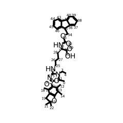 CCN(CC)/C(=N\S(=O)(=O)c1c(C)c(C)c2c(c1C)CC(C)(C)O2)NCCCC[C@@H](NC(=O)OCC1c2ccccc2-c2ccccc21)C(=O)O